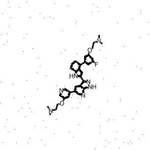 CN(C)CCOc1cncc(-c2cnc3[nH]nc(-c4cc5c(-c6cc(F)cc(OCCN(C)C)c6)cccc5[nH]4)c3c2)c1